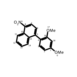 COc1ccc(-c2ccc([N+](=O)[O-])c3ccccc23)c(OC)c1